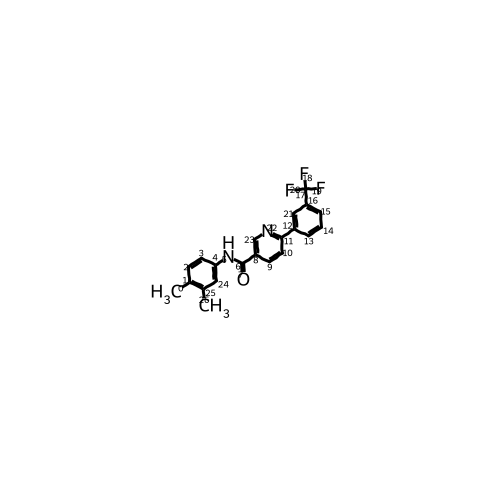 Cc1ccc(NC(=O)c2ccc(-c3cccc(C(F)(F)F)c3)nc2)cc1C